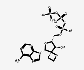 Nc1ncnc2c1ncn2[C@@H]1O[C@H](COP(=O)(O)OP(=O)(O)OP(=O)(O)O)[C@@H](O)[C@]12CCS2